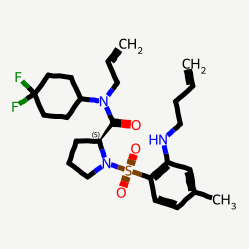 C=CCCNc1cc(C)ccc1S(=O)(=O)N1CCC[C@H]1C(=O)N(CC=C)C1CCC(F)(F)CC1